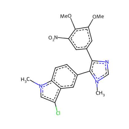 COc1cc(-c2ncn(C)c2-c2ccc3c(c2)c(Cl)cn3C)cc([N+](=O)[O-])c1OC